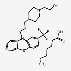 CCCCCCC(=O)O.OCCN1CCN(CCCN2c3ccccc3Sc3ccc(C(F)(F)F)cc32)CC1